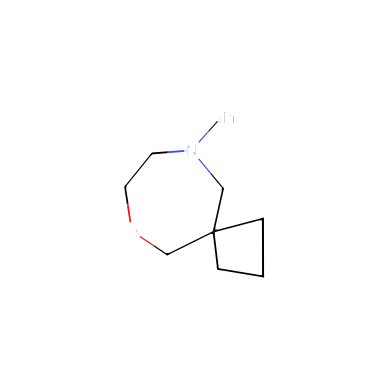 CC(C)N1CCOCC2(CCC2)C1